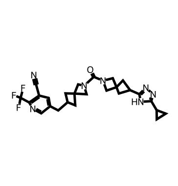 N#Cc1cc(CC2CC3(C2)CN(C(=O)N2CC4(CC(c5nnc(C6CC6)[nH]5)C4)C2)C3)cnc1C(F)(F)F